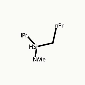 CCCC[SiH](NC)C(C)C